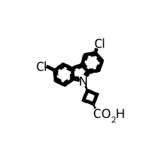 O=C(O)[C@H]1C[C@@H](n2c3ccc(Cl)cc3c3cc(Cl)ccc32)C1